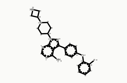 Nc1ncnc2c1c(-c1ccc(Oc3ccccc3F)cc1)nn2C1CCN(C2CNC2)CC1